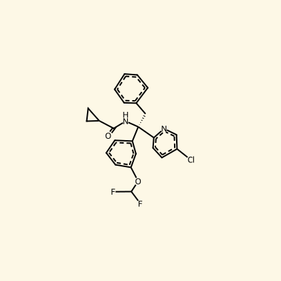 O=C(N[C@](Cc1ccccc1)(c1cccc(OC(F)F)c1)c1ccc(Cl)cn1)C1CC1